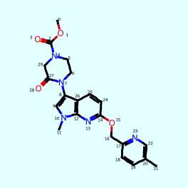 COC(=O)N1CCN(c2cn(C)c3nc(OCc4ccc(C)cn4)ccc23)C(=O)C1